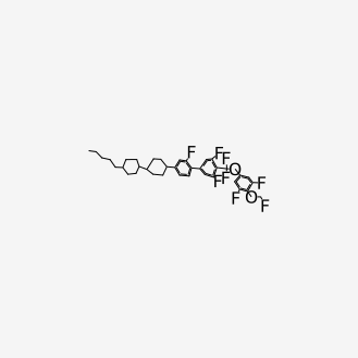 CCCCCC1CCC(C2CCC(c3ccc(-c4cc(F)c(C(F)(F)Oc5cc(F)c(OCF)c(F)c5)c(F)c4)c(F)c3)CC2)CC1